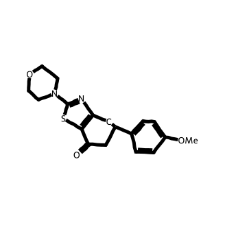 COc1ccc(C2CC(=O)c3sc(N4CCOCC4)nc3C2)cc1